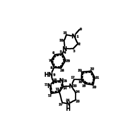 CN1CCN(c2ccc(Nc3ncc4c(n3)N(Cc3ccccc3)CCNC4)cc2)CC1